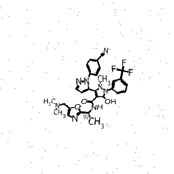 C[C@H](NC(=O)C1=C(c2ccnn2-c2ccc(C#N)cc2)N(C)N(c2cccc(C(F)(F)F)c2)C1O)c1ncc(CN(C)C)o1